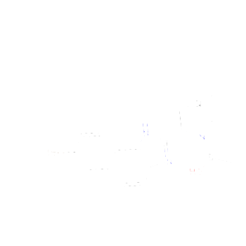 CB(O)N1C[Si](C)(C)C[C@H]1c1nc2c([nH]1)C1C=CC(Br)=CC1C=C2